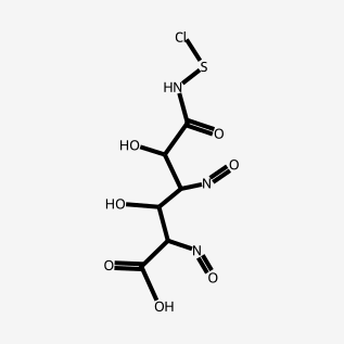 O=NC(C(=O)O)C(O)C(N=O)C(O)C(=O)NSCl